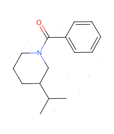 CC(C)C1CCCN(C(=O)c2ccccc2)C1